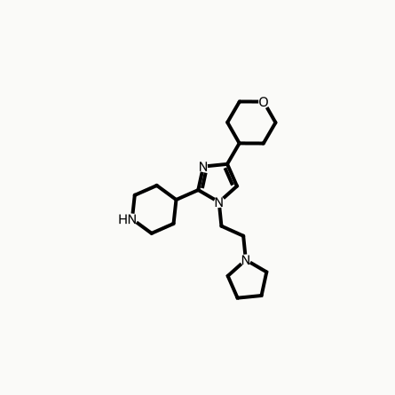 c1c(C2CCOCC2)nc(C2CCNCC2)n1CCN1CCCC1